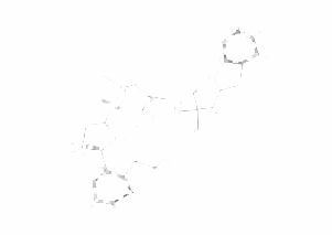 CN(C[C@H](O)CNC(C)(C)CC1Cc2ccccc2C1)S(=O)(=O)C1CC(c2ccccc2CCC(=O)O)=C(Cl)S1